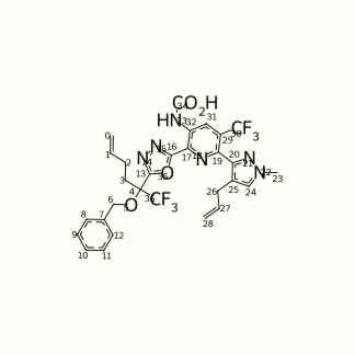 C=CCCC(OCc1ccccc1)(c1nnc(-c2nc(-c3nn(C)cc3CC=C)c(C(F)(F)F)cc2NC(=O)O)o1)C(F)(F)F